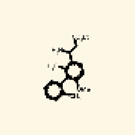 CCOC(=O)CC(N)c1ccc(OC)c(-c2ccccc2C)c1C